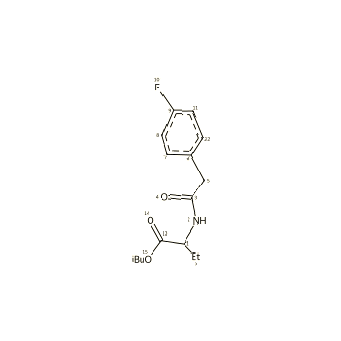 CCC(NC(=O)Cc1ccc(F)cc1)C(=O)OCC(C)C